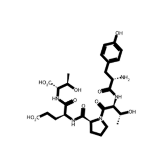 C[C@@H](O)[C@H](NC(=O)[C@H](CCC(=O)O)NC(=O)[C@@H]1CCCN1C(=O)[C@@H](NC(=O)[C@@H](N)Cc1ccc(O)cc1)[C@@H](C)O)C(=O)O